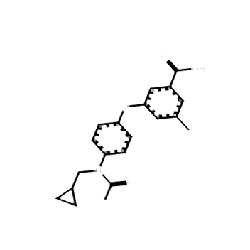 CC(=O)N(CC1CC1)c1ccc(Oc2cc(C)cc(C(=O)O)c2)cc1